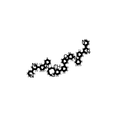 C=C1/C=C(n2c3ccccc3c3cc(-c4cncc(-c5cccnc5)c4)ccc32)\C=C/COc2ccc(-c3cccc(-c4ccc5oc6ccc(-n7c8ccccc8c8cc(-c9cncc(-c%10cccnc%10)c9)ccc87)cc6c5c4)c3)cc21